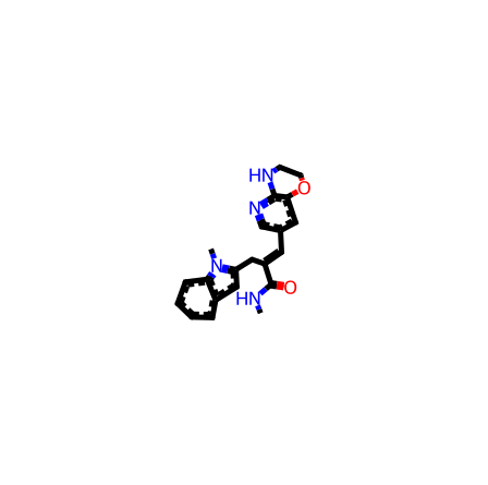 CNC(=O)/C(=C/c1cnc2c(c1)OCCN2)Cc1cc2ccccc2n1C